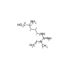 C=CN(C)C(=N)NCCCC(N)C(=O)O